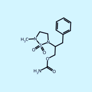 CN1CCN(C(COC(N)=O)Cc2ccccc2)S1(=O)=O